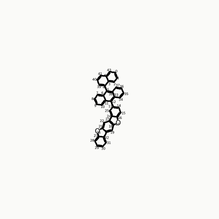 c1ccc2c(-c3c4ccccc4c(-c4ccc5oc6cc7c(cc6c5c4)oc4ccccc47)c4ccccc34)cccc2c1